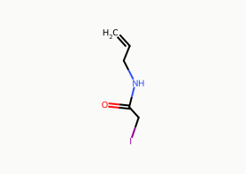 C=CCNC(=O)CI